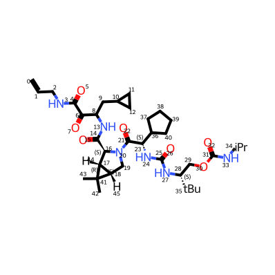 C=CCNC(=O)C(=O)C(CC1CC1)NC(=O)[C@@H]1[C@@H]2[C@H](CN1C(=O)[C@@H](NC(=O)N[C@H](COC(=O)NC(C)C)C(C)(C)C)C1CCCC1)C2(C)C